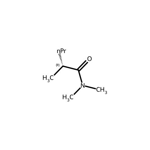 CCC[C@@H](C)C(=O)N(C)C